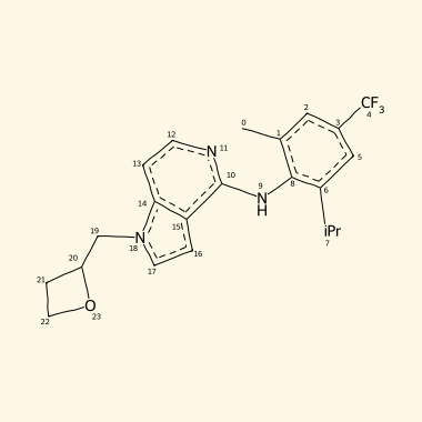 Cc1cc(C(F)(F)F)cc(C(C)C)c1Nc1nccc2c1ccn2CC1CCO1